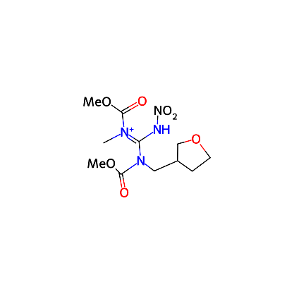 COC(=O)N(CC1CCOC1)C(N[N+](=O)[O-])=[N+](C)C(=O)OC